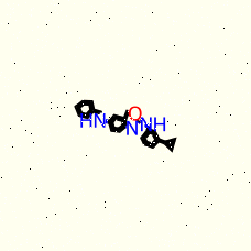 c1ccc(CNc2ccc3c(c2)COC(Nc2cccc(C4CC4)c2)=N3)cc1